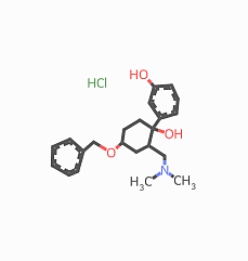 CN(C)CC1CC(OCc2ccccc2)CCC1(O)c1cccc(O)c1.Cl